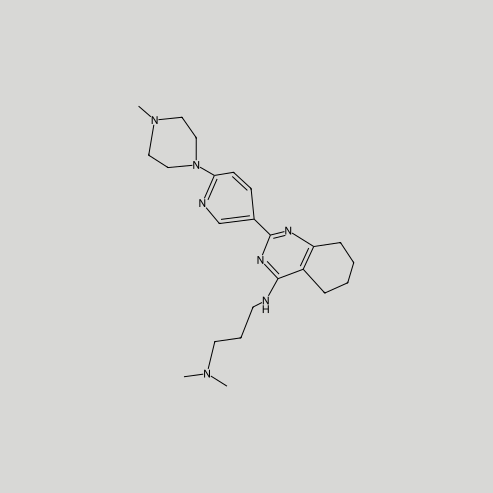 CN(C)CCCNc1nc(-c2ccc(N3CCN(C)CC3)nc2)nc2c1CCCC2